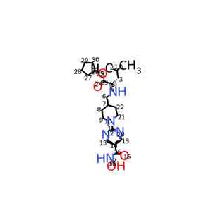 CC(C)C[C@H](NCC1CCN(c2ncc(C(=O)NO)cn2)CC1)C(=O)OC1CCCC1